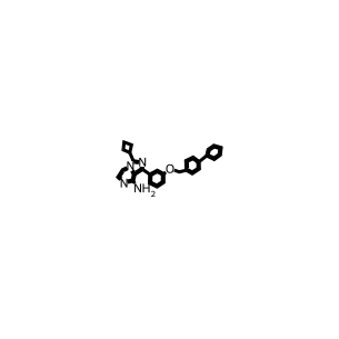 Nc1nccn2c(C3CCC3)nc(-c3cccc(OCc4ccc(-c5ccccc5)cc4)c3)c12